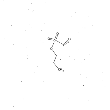 CCCOS(=O)(=O)P=O